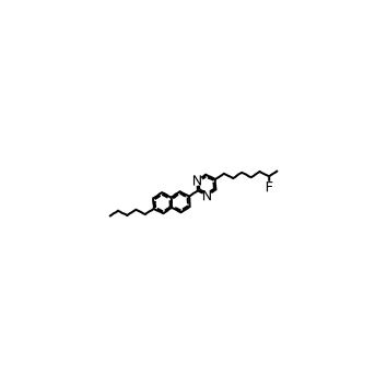 CCCCCc1ccc2cc(-c3ncc(CCCCCC(C)F)cn3)ccc2c1